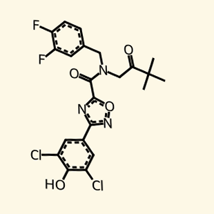 CC(C)(C)C(=O)CN(Cc1ccc(F)c(F)c1)C(=O)c1nc(-c2cc(Cl)c(O)c(Cl)c2)no1